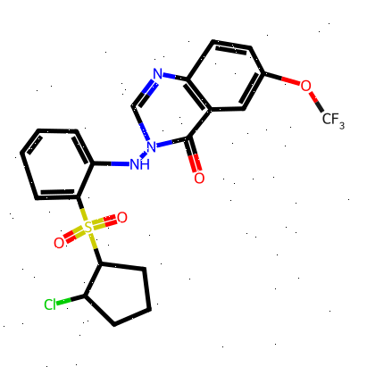 O=c1c2cc(OC(F)(F)F)ccc2ncn1Nc1ccccc1S(=O)(=O)C1CCCC1Cl